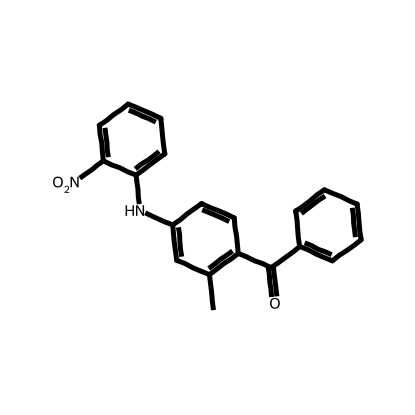 Cc1cc(Nc2ccccc2[N+](=O)[O-])ccc1C(=O)c1ccccc1